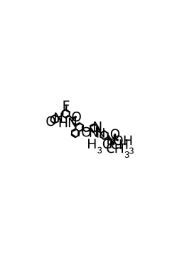 CC(C)(C)N(C(=O)O)C1CCN(c2nccc(Oc3ccc(NC(=O)c4cc(F)cc(N5CCOCC5)c4)c4ccccc34)n2)CC1